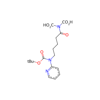 CC(C)(C)OC(=O)N(CCCCC(=O)N(C(=O)O)C(=O)O)c1ccccn1